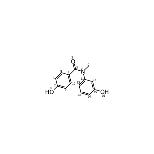 CN(C(=O)c1ccc(O)cc1)c1cccc(O)c1